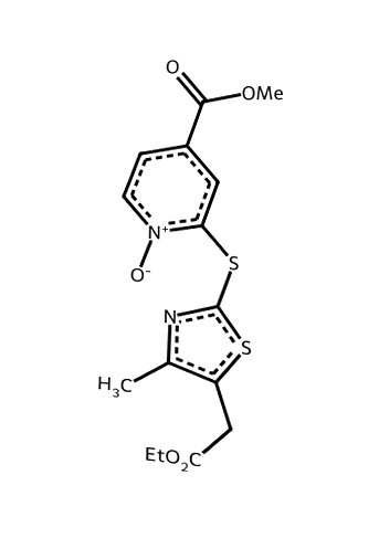 CCOC(=O)Cc1sc(Sc2cc(C(=O)OC)cc[n+]2[O-])nc1C